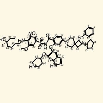 CC(C)c1ccccc1[C@@H]1CCCN1C1CC2(CCN(c3ccc(C(=O)NS(=O)(=O)c4cc5c(c([N+](=O)[O-])c4)N[C@@H]([C@H]4CC[C@](C)(O)CC4)CO5)c(Oc4cc5cc[nH]c5nc4OC4CCNCC4)c3)CC2)C1